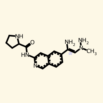 CN(N)/C=C(\N)c1ccc2cnc(NC(=O)C3CCCN3)cc2c1